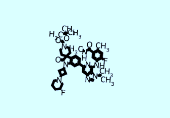 CNC(=O)c1cc(Nc2nc(-c3ccc4c(c3)N(C3CC(N5CCC[C@@H](F)C5)C3)C(=O)C43CCN(C(=O)OC(C)(C)C)CC3)cc3ncn(C(C)C)c23)c(F)cc1C